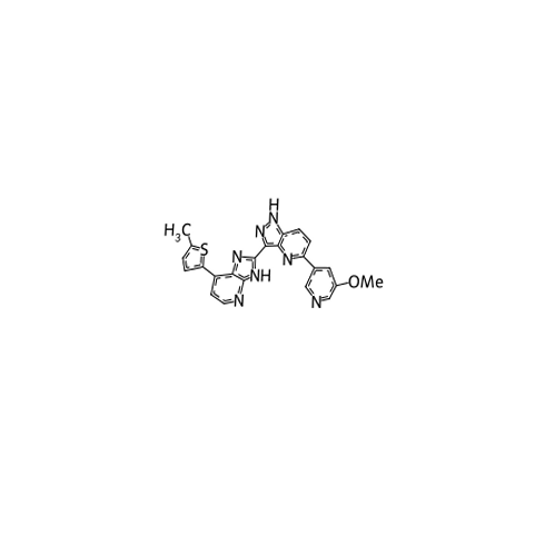 COc1cncc(-c2ccc3[nH]nc(-c4nc5c(-c6ccc(C)s6)ccnc5[nH]4)c3n2)c1